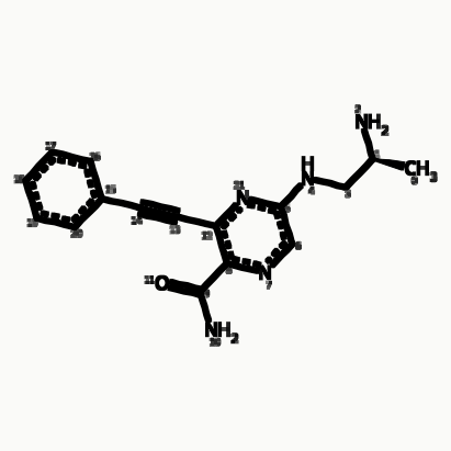 C[C@H](N)CNc1cnc(C(N)=O)c(C#Cc2ccccc2)n1